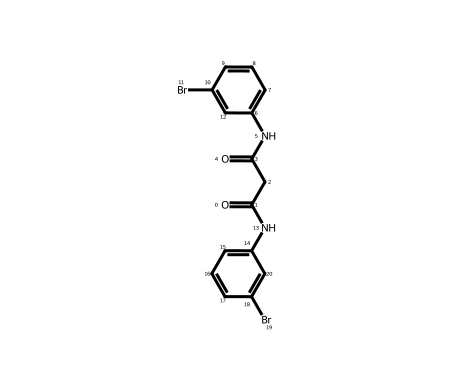 O=C(CC(=O)Nc1cccc(Br)c1)Nc1cccc(Br)c1